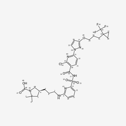 CC1(C)C[C@H](CCCNc2cccc(S(=O)(=O)NC(=O)c3ccc(-n4ccc(OCCCC5(C(F)(F)F)CC5)n4)nc3Cl)n2)CN1C(=O)O